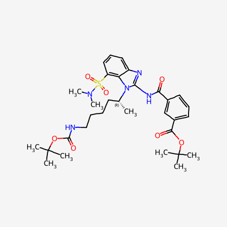 C[C@H](CCCCNC(=O)OC(C)(C)C)n1c(NC(=O)c2cccc(C(=O)OC(C)(C)C)c2)nc2cccc(S(=O)(=O)N(C)C)c21